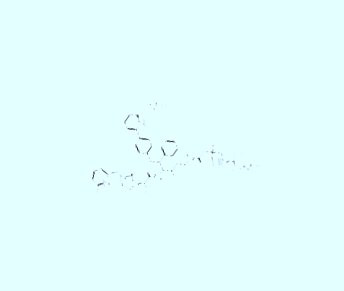 COC(=O)NCC(C)(C)CC(=O)NCCC(O)C(NC(=O)C(N1CCN(Cc2cccc(C)n2)C1=O)C(C)(C)C)C(Cc1ccc(-c2cccc(OC)n2)cc1)c1ccccc1